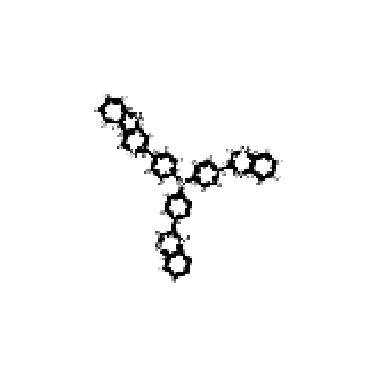 c1ccc2nc(-c3ccc(N(c4ccc(-c5cc6oc7ccccc7c6cn5)cc4)c4ccc(-c5cnc6ccccc6n5)cc4)cc3)cnc2c1